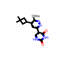 COc1nnc(-c2c[nH]c(=O)[nH]c2=O)cc1C1CC(C)(C)C1